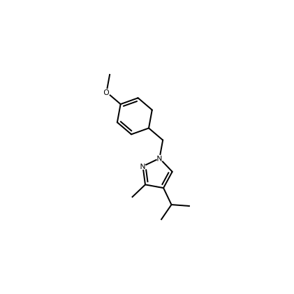 COC1=CCC(Cn2cc(C(C)C)c(C)n2)C=C1